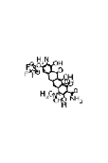 CN(C)[C@@H]1C(O)=C(C(N)=O)C(=O)[C@@]2(O)C(O)=C3C(=O)c4c(cc(OS(=O)(=O)C(F)(F)F)c(N)c4O)CC3CC12